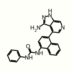 Nc1n[nH]c2cncc(-c3ccc(NC(=O)Nc4ccccc4)c4ccccc34)c12